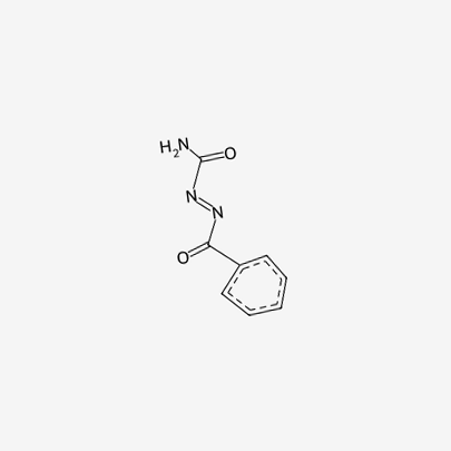 NC(=O)N=NC(=O)c1ccccc1